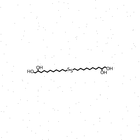 OCC(O)CCCCCCCCCSSCCCCCCCCCC(O)CO